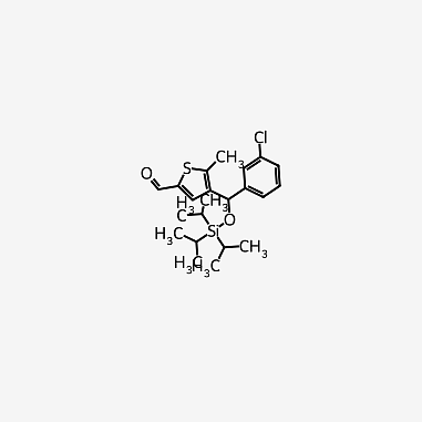 Cc1sc(C=O)cc1C(O[Si](C(C)C)(C(C)C)C(C)C)c1cccc(Cl)c1